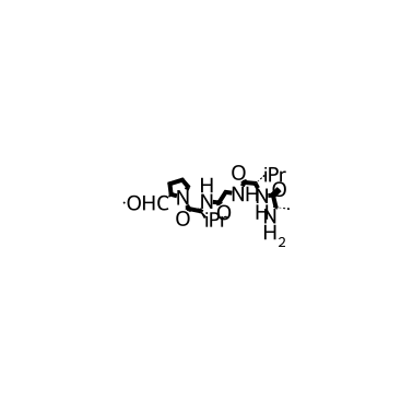 CC(C)[C@H](NC(=O)[C@H](C)N)C(=O)NCC(=O)N[C@H](C(=O)N1CCC[C@H]1[C]=O)C(C)C